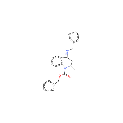 CC1C/C(=N\Cc2ccccc2)c2ccccc2N1C(=O)OCc1ccccc1